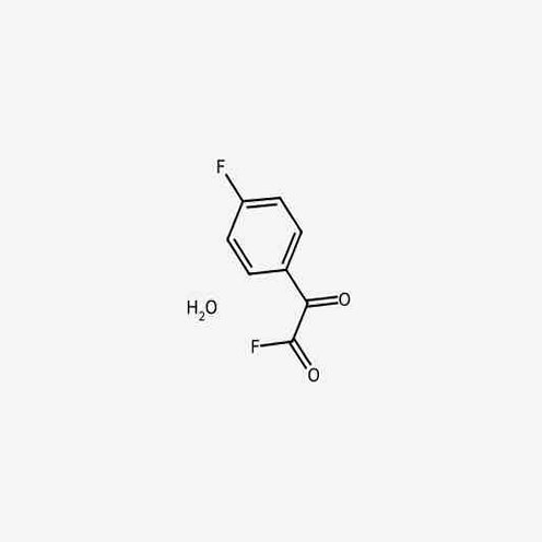 O.O=C(F)C(=O)c1ccc(F)cc1